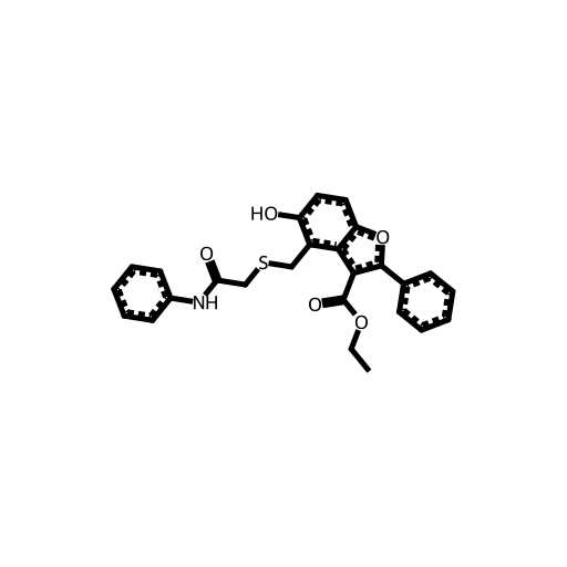 CCOC(=O)c1c(-c2ccccc2)oc2ccc(O)c(CSCC(=O)Nc3ccccc3)c12